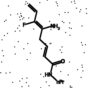 C=C/C(F)=C(\N)C/C=C/C(=O)NCCC